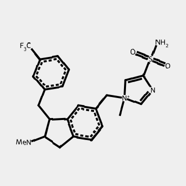 CNC1Cc2ccc(C[N+]3(C)C=NC(S(N)(=O)=O)=C3)cc2C1Cc1cccc(C(F)(F)F)c1